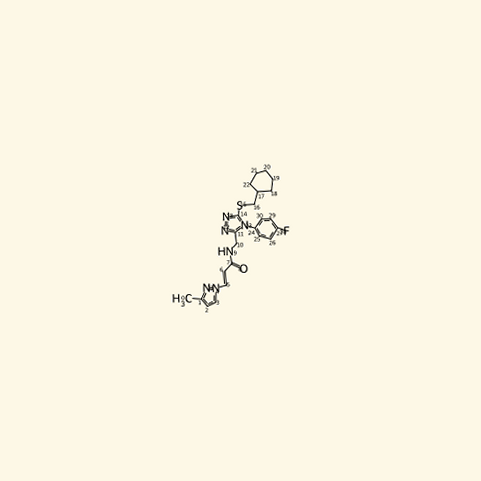 Cc1ccn(C=CC(=O)NCc2nnc(SCC3CCCCC3)n2-c2ccc(F)cc2)n1